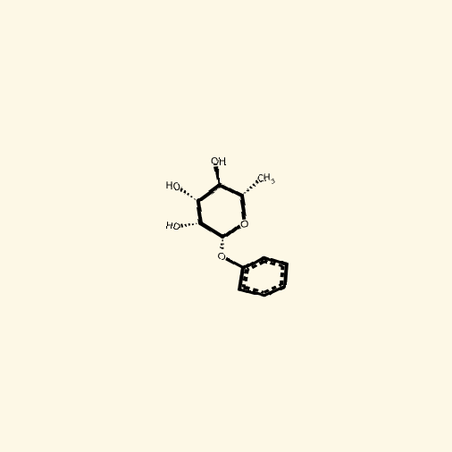 C[C@@H]1O[C@H](Oc2ccccc2)[C@H](O)[C@H](O)[C@H]1O